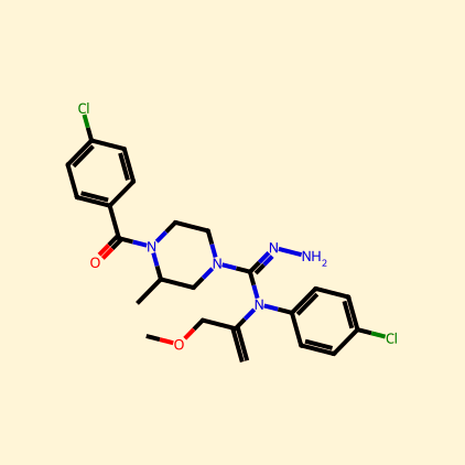 C=C(COC)N(/C(=N\N)N1CCN(C(=O)c2ccc(Cl)cc2)C(C)C1)c1ccc(Cl)cc1